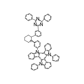 c1ccc(-c2nc(-c3ccccc3)nc(-c3cccc(C4CCCC[C@@H]4c4cccc(-n5c6ccccc6c6c7c(c8ccccc8n7-c7ccccc7)c7c(c8ccccc8n7-c7ccccc7)c65)c4)c3)n2)cc1